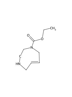 CCOC(=O)N1C/C=C/CNCC1